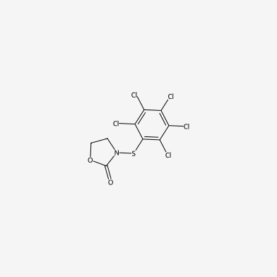 O=C1OCCN1Sc1c(Cl)c(Cl)c(Cl)c(Cl)c1Cl